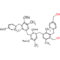 COc1ccc(Cc2c(C)c(Cc3c(OC)c(C)cc(Cc4cc(C)c(CO)c(Cc5ccc(CO)cc5)c4C)c3OC)cc(C)c2OC)cc1